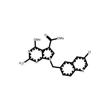 COC(=O)c1cn(Cc2ccc3ncc(Cl)cc3c2)c2nc(C)nc(OC)c12